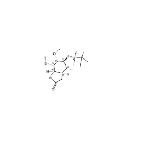 CO[C@@H]1[C@H](OC)[C@@H](O[Si](C)(C)C(C)(C)C)[C@H](C)[C@H]2CC(=O)O[C@H]21